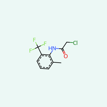 Cc1cccc(C(F)(F)F)c1NC(=O)CCl